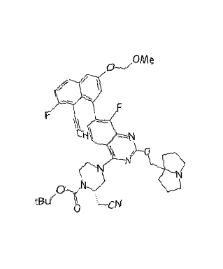 C#Cc1c(F)ccc2cc(OCOC)cc(-c3ccc4c(N5CCN(C(=O)OC(C)(C)C)[C@@H](CC#N)C5)nc(OCC56CCCN5CCC6)nc4c3F)c12